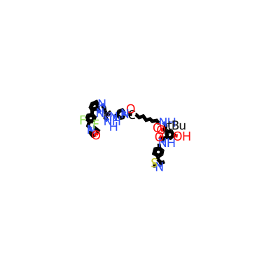 CC1N=CSC1c1ccc(CNC(=O)C2CC(O)C[C@H]2C(=O)C(NC(=O)CCCCCCCCC(=O)N2CCC(N/C=C(\C=N)c3cnc4cccc(-c5cc(F)c(CN6CCOCC6)c(F)c5)c4n3)CC2)C(C)(C)C)cc1